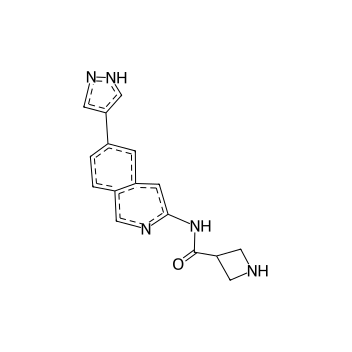 O=C(Nc1cc2cc(-c3cn[nH]c3)ccc2cn1)C1CNC1